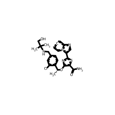 C[C@@H](Oc1nc(-c2cnc3ccccn23)sc1C(N)=O)c1ccc(CNC(C)(C)CO)cc1Cl